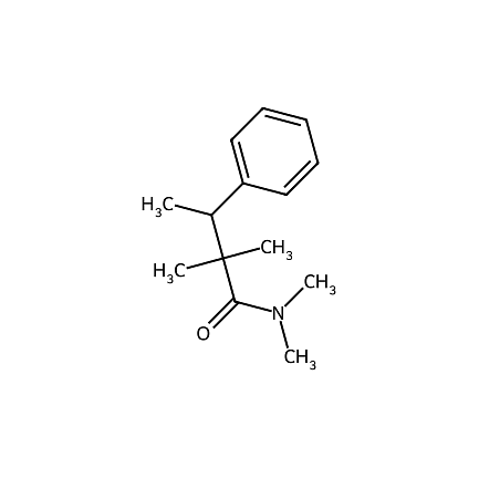 CC(c1ccccc1)C(C)(C)C(=O)N(C)C